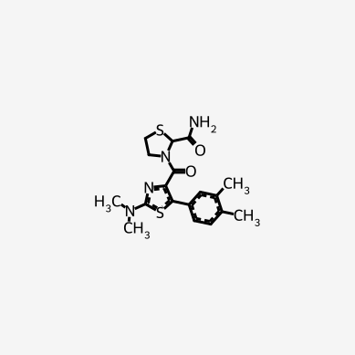 Cc1ccc(-c2sc(N(C)C)nc2C(=O)N2CCSC2C(N)=O)cc1C